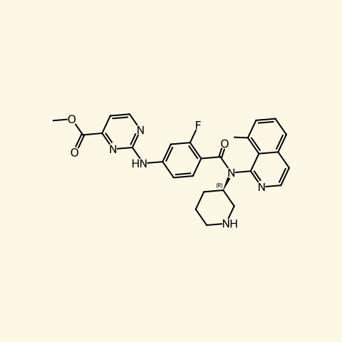 COC(=O)c1ccnc(Nc2ccc(C(=O)N(c3nccc4cccc(C)c34)[C@@H]3CCCNC3)c(F)c2)n1